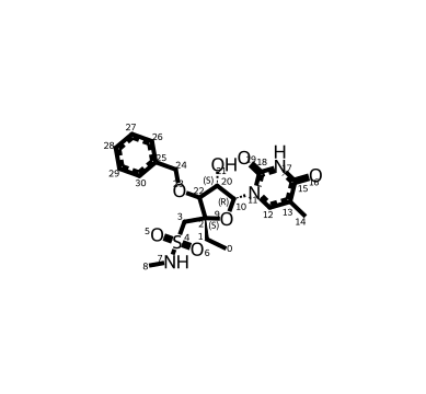 CC[C@]1(CS(=O)(=O)NC)O[C@@H](n2cc(C)c(=O)[nH]c2=O)[C@@H](O)C1OCc1ccccc1